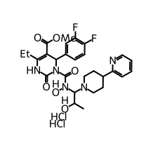 CCC1=C(C(=O)OC)C(c2ccc(F)c(F)c2)N(C(=O)N(O)C(C(C)O)N2CCC(c3ccccn3)CC2)C(=O)N1.Cl.Cl